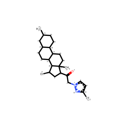 CCC1CC(C(=O)Cn2ccc(C(F)(F)F)n2)C2(C)CCC3C4CCC(C)CC4CCC3C12